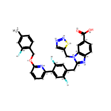 Cc1ccc(COc2cccc(-c3cc(F)c(Cc4nc5ccc(C(=O)O)cc5n4Cc4cnns4)cc3F)n2)c(F)c1